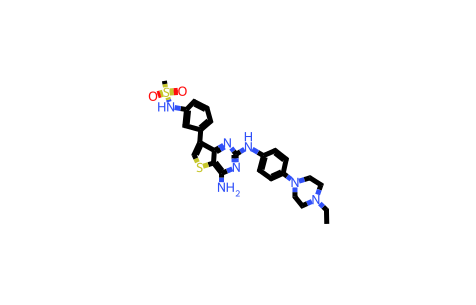 CCN1CCN(c2ccc(Nc3nc(N)c4scc(-c5cccc(NS(C)(=O)=O)c5)c4n3)cc2)CC1